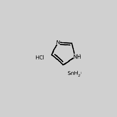 Cl.[SnH2].c1c[nH]cn1